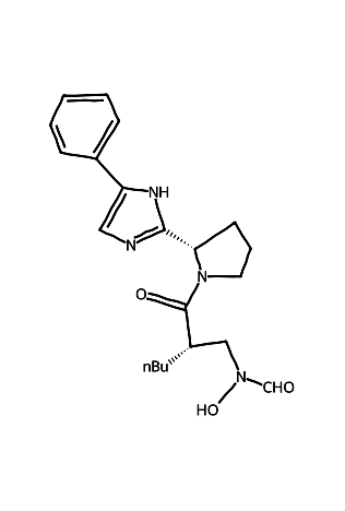 CCCC[C@@H](CN(O)C=O)C(=O)N1CCC[C@H]1c1ncc(-c2ccccc2)[nH]1